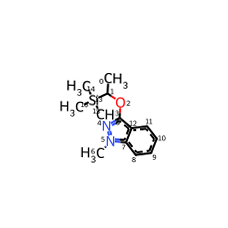 CC(Oc1nn(C)c2ccccc12)[Si](C)(C)C